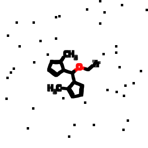 CC1=CC=CC1C(O[CH2][Zr])C1C=CC=C1C